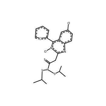 CC(C)SN(SC(C)C)C(=S)Cc1nc2ccc(Cl)cc2c(-c2ccccc2)[n+]1[O-]